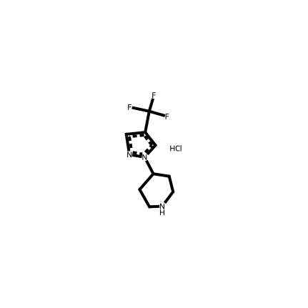 Cl.FC(F)(F)c1cnn(C2CCNCC2)c1